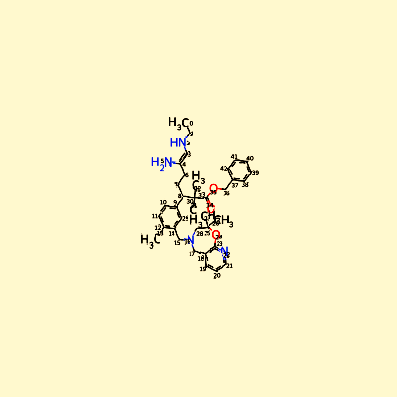 CCN/C=C(\N)CCC(c1ccc(C)c(CN2Cc3cccnc3OC(C)(C)C2)c1)C(C)(C)C(=O)OCc1ccccc1